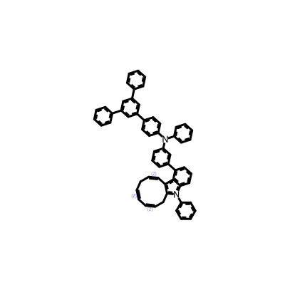 C1=C\C/C=C\c2c(n(-c3ccccc3)c3cccc(-c4cccc(N(c5ccccc5)c5ccc(-c6cc(-c7ccccc7)cc(-c7ccccc7)c6)cc5)c4)c23)C\C=C/1